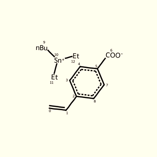 C=Cc1ccc(C(=O)[O-])cc1.CCC[CH2][Sn+]([CH2]C)[CH2]C